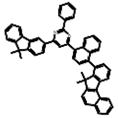 CC1(C)c2ccccc2-c2cc(-c3cc(-c4ccc(-c5cccc6c5C(C)(C)c5ccc7ccccc7c5-6)c5ccccc45)nc(-c4ccccc4)n3)ccc21